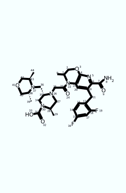 CC1COc2nc(C(N)=O)c(Cc3ccc(F)cc3F)cc2N1C(=O)CN1C[C@@H](C)N(C(=O)O)C[C@@H]1CN1[C@H](C)COC[C@H]1C